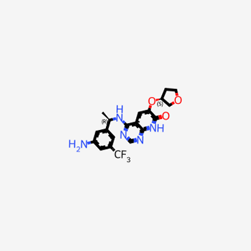 C[C@@H](Nc1ncnc2[nH]c(=O)c(O[C@H]3CCOC3)cc12)c1cc(N)cc(C(F)(F)F)c1